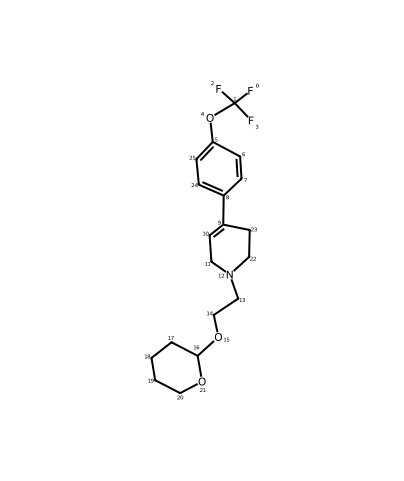 FC(F)(F)Oc1ccc(C2=CCN(CCOC3CCCCO3)CC2)cc1